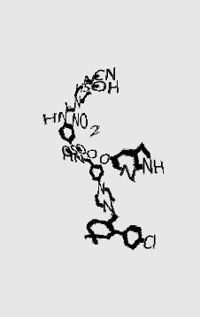 C[C@@H](CN1CC[SH](O)(=NC#N)CC1)Nc1ccc(S(=O)(=O)NC(=O)c2ccc(N3CCN(CC4=C(c5ccc(Cl)cc5)CC(C)(C)CC4)CC3)cc2Oc2cnc3[nH]ccc3c2)cc1[N+](=O)[O-]